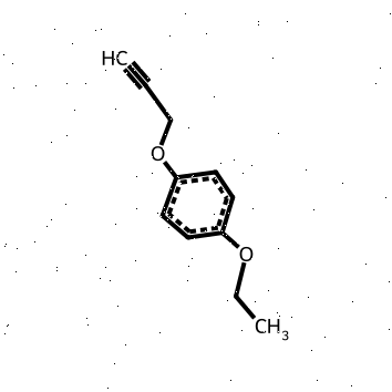 C#CCOc1ccc(OCC)cc1